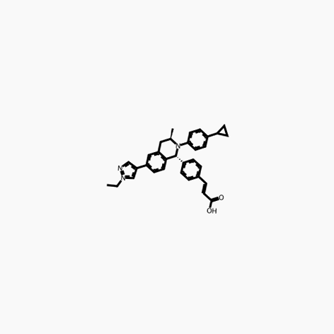 CCn1cc(-c2ccc3c(c2)C[C@@H](C)N(c2ccc(C4CC4)cc2)[C@@H]3c2ccc(C=CC(=O)O)cc2)cn1